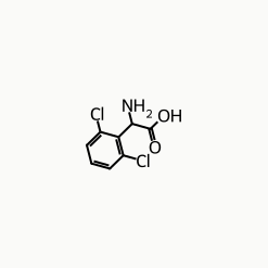 NC(C(=O)O)c1c(Cl)cccc1Cl